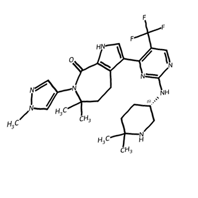 Cn1cc(N2C(=O)c3[nH]cc(-c4nc(N[C@H]5CCC(C)(C)NC5)ncc4C(F)(F)F)c3CCC2(C)C)cn1